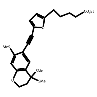 CCOC(=O)CCCCc1ccc(C#Cc2cc3c(cc2SC)OCCC3(SC)SC)o1